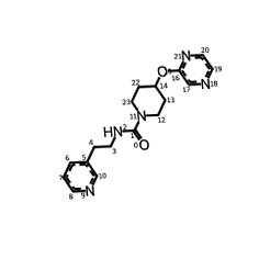 O=C(NCCc1cccnc1)N1CCC(Oc2cnccn2)CC1